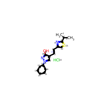 CC(C)c1nc(/C=C/c2cn(-c3ccccc3)nc2O)cs1.Cl